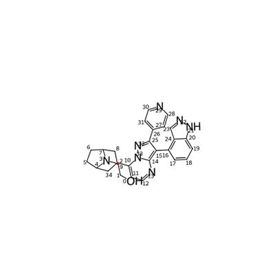 OCCN1C2CCC1CC(c1ccnc3c(-c4cccc5[nH]ncc45)c(-c4ccncc4)nn13)C2